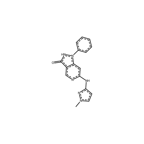 Cn1ccc(Nc2cc3c(cn2)c(=O)[nH]n3-c2ccccc2)n1